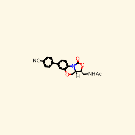 CC(=O)NC[C@@H]1OC(=O)N2c3ccc(-c4ccc(C#N)cc4)cc3OC[C@@H]12